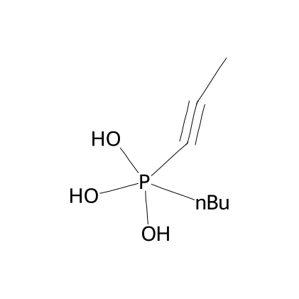 CC#CP(O)(O)(O)CCCC